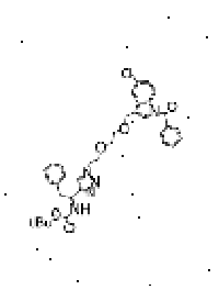 CC(C)(C)OC(=O)NC(Cc1ccccc1)c1cn(CCOCCOCc2cn(C(=O)c3ccccc3)c3ccc(Cl)cc23)nn1